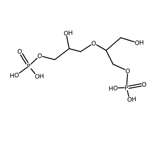 O=P(O)(O)OCC(O)COC(CO)COP(=O)(O)O